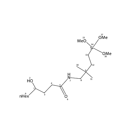 CCCCCCC(O)CCC(=O)NCC(C)(C)CC[Si](OC)(OC)OC